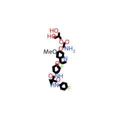 COc1cc2c(Oc3ccc(NC(=O)C4(C(=O)Nc5ccc(F)cc5)CC4)cc3F)ccnc2cc1OC(N)C(=O)OCC(CO)CO